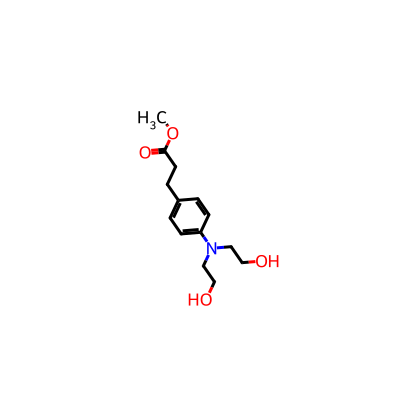 COC(=O)CCc1ccc(N(CCO)CCO)cc1